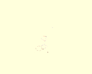 CC(C)c1nn(-c2noc(C3CCN(C4CCOCC4)CC3)n2)c2ccc(Cl)cc12